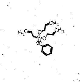 C=CCO[PH](CC=C)(OCC=C)Oc1ccccc1